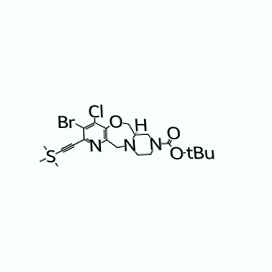 CC(C)(C)OC(=O)N1CCN2Cc3nc(C#CS(C)(C)C)c(Br)c(Cl)c3OC[C@H]2C1